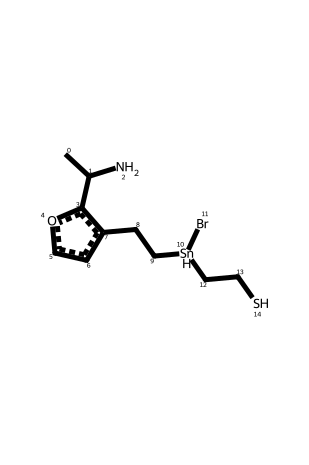 CC(N)c1occc1C[CH2][SnH]([Br])[CH2]CS